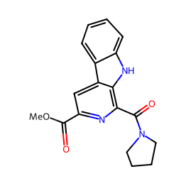 COC(=O)c1cc2c([nH]c3ccccc32)c(C(=O)N2CCCC2)n1